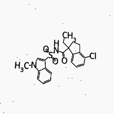 CCC1(C(=O)NS(=O)(=O)c2cn(C)c3ccccc23)CCc2c(Cl)cccc21